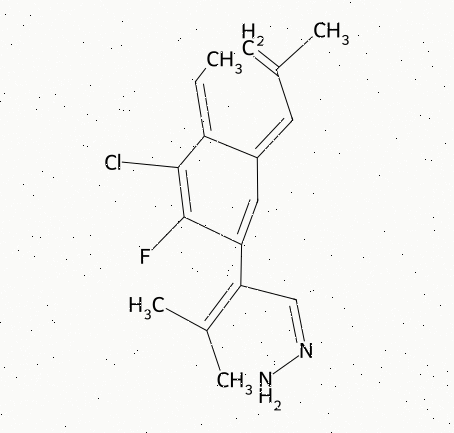 C=C(C)/C=c1/cc(C(/C=N\N)=C(C)C)c(F)c(Cl)/c1=C/C